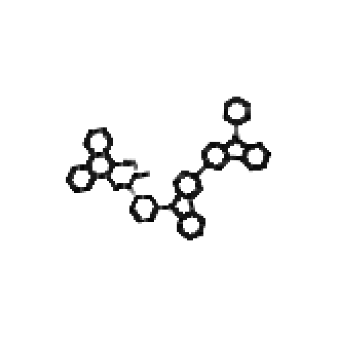 C=C/C(=N\c1c(N)c2ccccc2c2ccccc12)[C@H]1C=CC=C(n2c3ccccc3c3cc(-c4ccc5c(c4)c4ccccc4n5-c4ccccc4)ccc32)C1